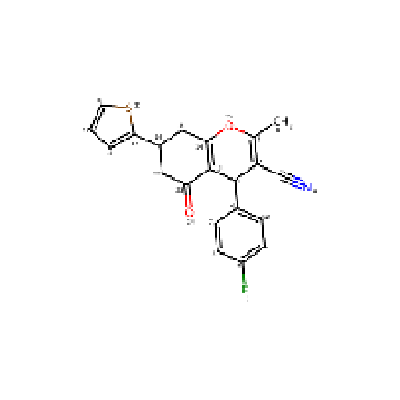 CC1=C(C#N)C(c2ccc(F)cc2)C2=C(CC(c3cccs3)CC2=O)O1